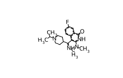 CC(C)N1CCC(C(=N)c2c(N(C)C)[nH]c(=O)c3cc(F)ccc23)CC1